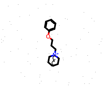 c1ccc(OCCC[N+]23CCC(CC2)CC3)cc1